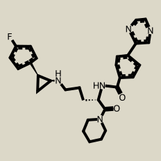 O=C(N[C@@H](CCCN[C@@H]1C[C@H]1c1ccc(F)cc1)C(=O)N1CCCCC1)c1ccc(-c2cnccn2)cc1